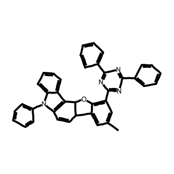 Cc1cc(-c2nc(-c3ccccc3)nc(-c3ccccc3)n2)c2c(c1)C1C=Cc3c(c4ccccc4n3-c3ccccc3)C1O2